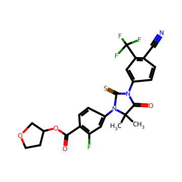 CC1(C)C(=O)N(c2ccc(C#N)c(C(F)(F)F)c2)C(=S)N1c1ccc(C(=O)OC2CCOC2)c(F)c1